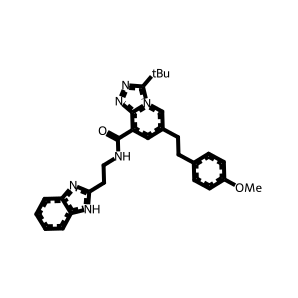 COc1ccc(CCc2cc(C(=O)NCCc3nc4ccccc4[nH]3)c3nnc(C(C)(C)C)n3c2)cc1